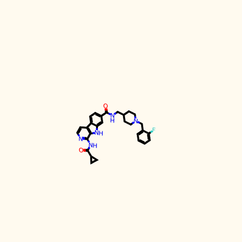 O=C(NCC1CCN(Cc2ccccc2F)CC1)c1ccc2c(c1)[nH]c1c(NC(=O)C3CC3)nccc12